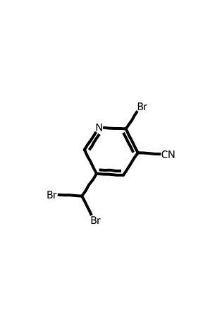 N#Cc1cc(C(Br)Br)cnc1Br